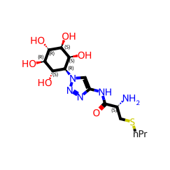 [CH2][CH]CSC[C@@H](N)C(=O)Nc1cn([C@@H]2[C@H](O)[C@H](O)[C@@H](O)[C@H](O)[C@H]2O)nn1